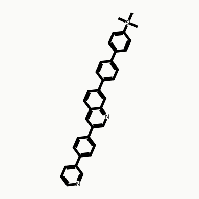 C[Si](C)(C)c1ccc(-c2ccc(-c3ccc4cc(-c5ccc(-c6cccnc6)cc5)cnc4c3)cc2)cc1